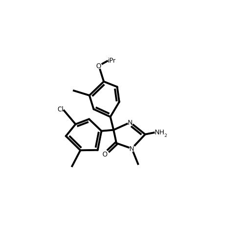 Cc1cc(Cl)cc(C2(c3ccc(OC(C)C)c(C)c3)N=C(N)N(C)C2=O)c1